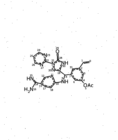 C=Cc1cc(OC(C)=O)cc(C(Nc2ccc(C(=N)N)cc2)c2nn(-c3ncccn3)c(=O)[nH]2)c1